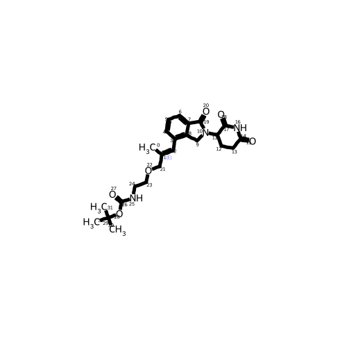 C/C(=C\c1cccc2c1CN(C1CCC(=O)NC1=O)C2=O)COCCNC(=O)OC(C)(C)C